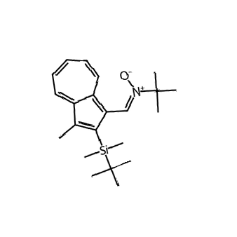 Cc1c2cccccc-2c(/C=[N+](\[O-])C(C)(C)C)c1[Si](C)(C)C(C)(C)C